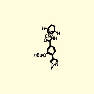 CCCCOc1cc(C(=O)N[C@@H]2C[C@@H]3CC[C@H]2N3C#N)ccc1-c1cnn(C)c1